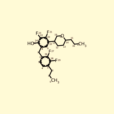 CCCc1ccc(Cc2cc(C3CCC(CCC)OC3)c(F)c(F)c2O)c(F)c1F